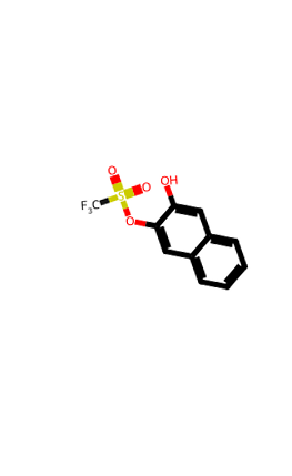 O=S(=O)(Oc1cc2ccccc2cc1O)C(F)(F)F